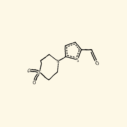 O=Cc1ccc(N2CCS(=O)(=O)CC2)s1